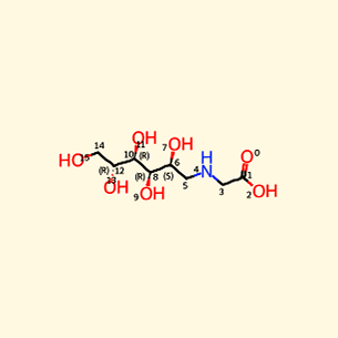 O=C(O)CNC[C@H](O)[C@@H](O)[C@H](O)[C@H](O)CO